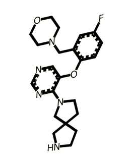 Fc1ccc(Oc2cncnc2N2CCC3(CCNC3)C2)c(CN2CCOCC2)c1